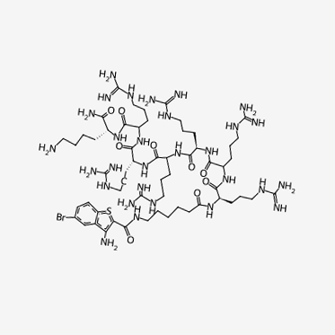 N=C(N)NCCCC(NC(=O)[C@@H](CCCNC(=N)N)NC(=O)CCCCCNC(=O)c1sc2ccc(Br)cc2c1N)C(=O)N[C@H](CCCNC(=N)N)C(=O)NC(CCCNC(=N)N)C(=O)N[C@H](CCCNC(=N)N)C(=O)NC(CCCNC(=N)N)C(=O)N[C@H](CCCCN)C(N)=O